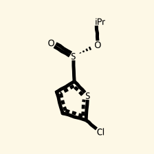 CC(C)O[S@@](=O)c1ccc(Cl)s1